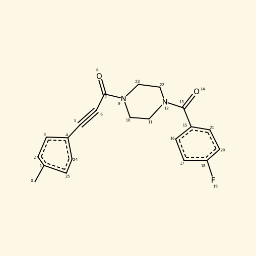 Cc1ccc(C#CC(=O)N2CCN(C(=O)c3ccc(F)cc3)CC2)cc1